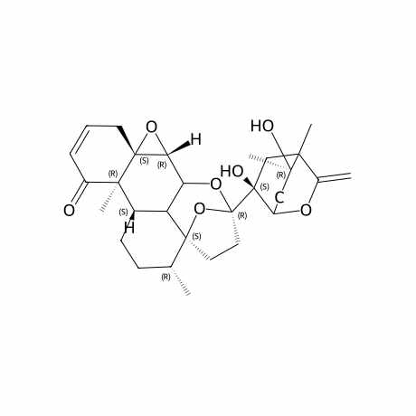 C=C1OC2C[C@@](C)(O)C1(C)C[C@@]2(O)[C@@]12CC[C@@]3(O1)C1C(O2)[C@H]2O[C@]24CC=CC(=O)[C@]4(C)[C@H]1CC[C@H]3C